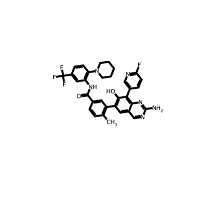 Cc1ccc(C(=O)Nc2cc(C(F)(F)F)ccc2N2CCCCC2)cc1-c1cc2cnc(N)nc2c(-c2ccc(F)nc2)c1O